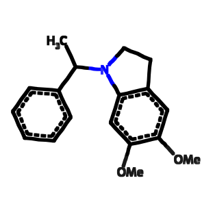 COc1cc2c(cc1OC)N(C(C)c1ccccc1)CC2